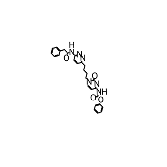 O=C(Cc1ccccc1)Nc1ccc(CCCCn2ccc(NC(=O)Oc3ccccc3)nc2=O)nn1